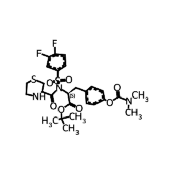 CN(C)C(=O)Oc1ccc(C[C@@H](C(=O)OC(C)(C)C)N(C(=O)C2CSCCN2)S(=O)(=O)c2ccc(F)c(F)c2)cc1